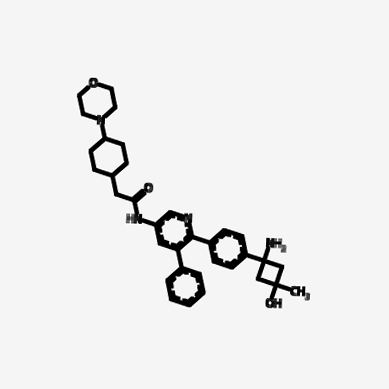 CC1(O)CC(N)(c2ccc(-c3ncc(NC(=O)CC4CCC(N5CCOCC5)CC4)cc3-c3ccccc3)cc2)C1